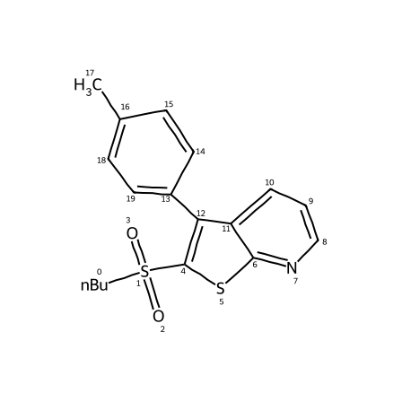 CCCCS(=O)(=O)c1sc2ncccc2c1-c1ccc(C)cc1